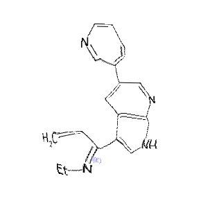 C=C/C(=N\CC)c1c[nH]c2ncc(-c3cccnc3)cc12